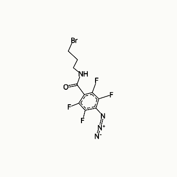 [N-]=[N+]=Nc1c(F)c(F)c(C(=O)NCCCBr)c(F)c1F